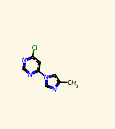 Cc1cn(-c2cc(Cl)ncn2)cn1